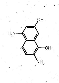 Nc1ccc2c(N)cc(O)cc2c1O